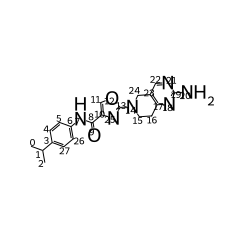 CC(C)c1ccc(NC(=O)c2coc(N3CCc4nc(N)ncc4C3)n2)cc1